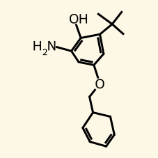 CC(C)(C)c1cc(OCC2C=CC=CC2)cc(N)c1O